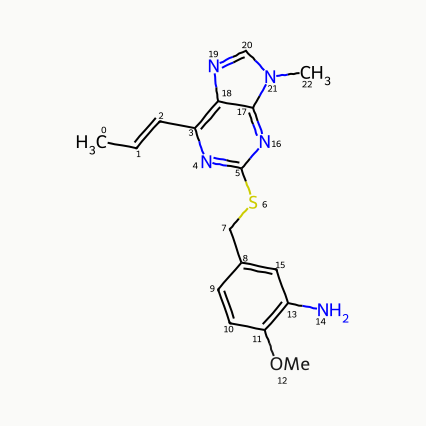 C/C=C/c1nc(SCc2ccc(OC)c(N)c2)nc2c1ncn2C